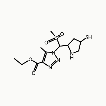 CCOC(=O)c1nnn(C(C2CC(S)CN2)S(C)(=O)=O)c1C